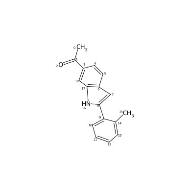 CC(=O)c1ccc2cc(-c3ccccc3C)[nH]c2c1